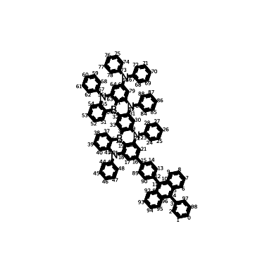 c1ccc(-c2c3ccccc3c(-c3ccc(-c4cc5c6c(c4)N(c4ccccc4)c4cc7c(cc4B6c4ccccc4N5c4ccccc4)B4c5ccccc5N(c5ccccc5)c5cc(N(c6ccccc6)c6ccccc6)cc(c54)N7c4ccccc4)cc3)c3ccccc23)cc1